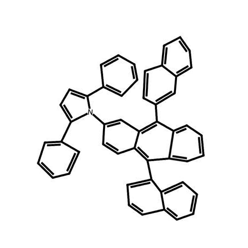 c1ccc(-c2ccc(-c3ccccc3)n2-c2ccc3c(-c4cccc5ccccc45)c4ccccc4c(-c4ccc5ccccc5c4)c3c2)cc1